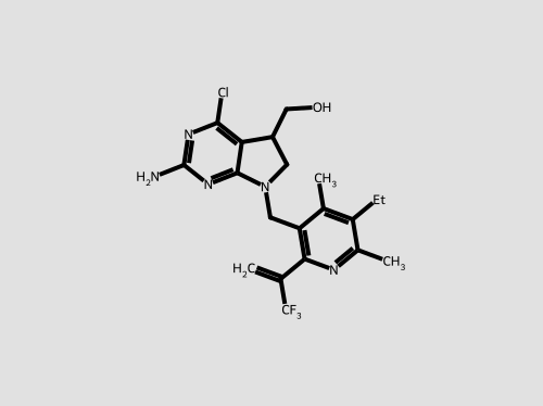 C=C(c1nc(C)c(CC)c(C)c1CN1CC(CO)c2c(Cl)nc(N)nc21)C(F)(F)F